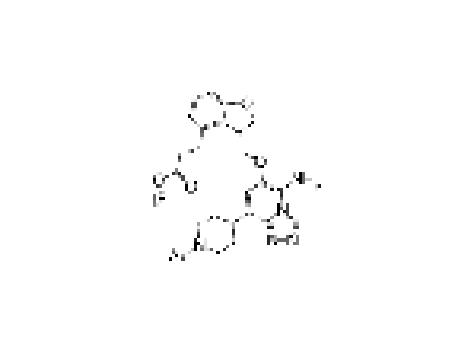 CC(=O)N1CCC(c2cc(OC[C@H]3COc4cccc(CCC(=O)OC(C)(C)C)c43)c(N)n3cnnc23)CC1